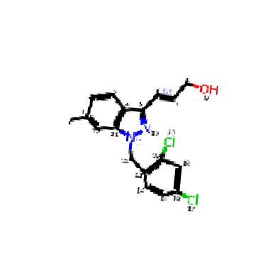 Cc1ccc2c(/C=C/CO)nn(Cc3ccc(Cl)cc3Cl)c2c1